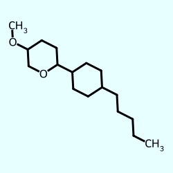 CCCCCC1CCC(C2CCC(OC)CO2)CC1